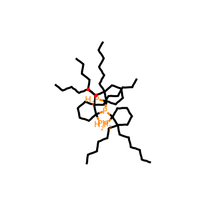 CCCCCCC1(CCCCCC)CCCCC1(P)P(C1(P)CCCCC1(CCCCCC)CCCCCC)C1(P)CCCCC1(CCCCCC)CCCCCC